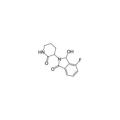 O=C1NCCCC1N1C(=O)c2cccc(F)c2C1O